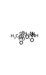 CCCCc1c(C)n(Cc2ccccc2)c(=O)n1Cc1ccc(-c2ccccc2-c2nnn[nH]2)cn1